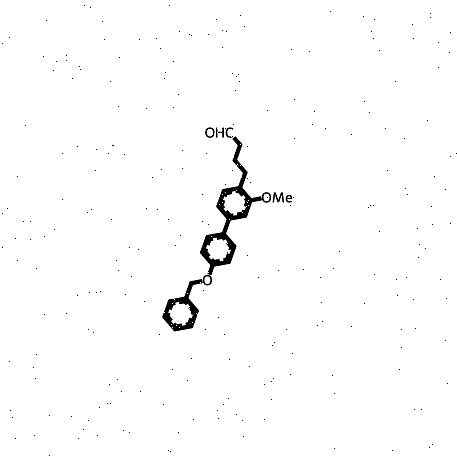 COc1cc(-c2ccc(OCc3ccccc3)cc2)ccc1CCCC=O